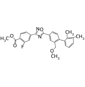 COCc1cc(-c2nc(-c3ccc(C(=O)OC)c(F)c3)no2)ccc1-c1cccc(C)c1C